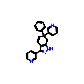 C1=CC(c2ccccc2)(c2cccnc2)Cc2[nH]nc(-c3cccnc3)c21